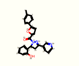 Cc1ccc(-c2ccc(C(=O)N3N=C(c4cccnc4)CC3c3ccccc3O)o2)cc1